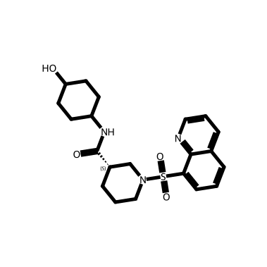 O=C(NC1CCC(O)CC1)[C@H]1CCCN(S(=O)(=O)c2cccc3cccnc23)C1